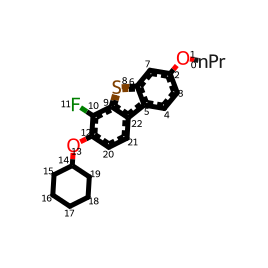 CCCOc1ccc2c(c1)sc1c(F)c(OC3CCCCC3)ccc12